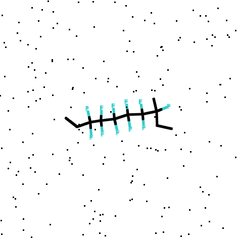 CCC(C)(F)C(F)(F)C(F)(F)C(F)(F)C(F)(F)C(F)(F)CC